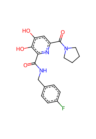 O=C(NCc1ccc(F)cc1)c1nc(C(=O)N2CCCC2)cc(O)c1O